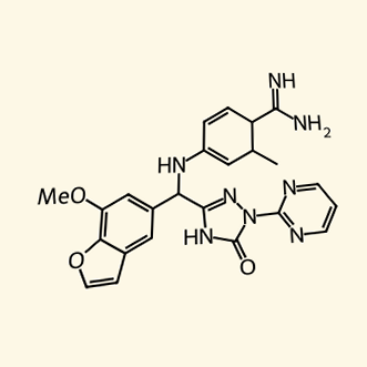 COc1cc(C(NC2=CC(C)C(C(=N)N)C=C2)c2nn(-c3ncccn3)c(=O)[nH]2)cc2ccoc12